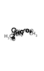 CC(=O)N1CCN(Cc2cc(F)c3nc(C(NC(=O)c4conc4C)C4CCCCCCC4)[nH]c3c2)CC1